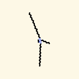 CCCCCCCCCCCCCCCCCCCN1C=CN(CCCCCCCCCCCCCCCC)C1CCCCCC